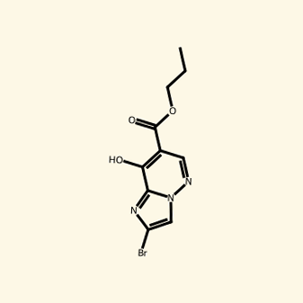 CCCOC(=O)c1cnn2cc(Br)nc2c1O